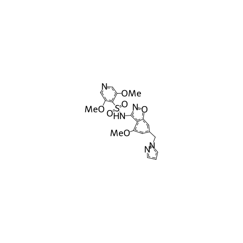 COc1cncc(OC)c1S(=O)(=O)Nc1noc2cc(Cn3cccn3)cc(OC)c12